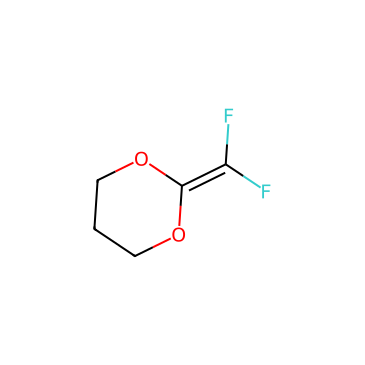 FC(F)=C1OCCCO1